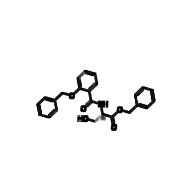 O=C(N[C@@H](CO)C(=O)OCc1ccccc1)c1ccccc1OCc1ccccc1